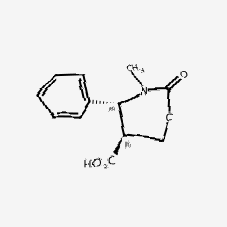 CN1C(=O)CC[C@@H](C(=O)O)[C@@H]1c1ccccc1